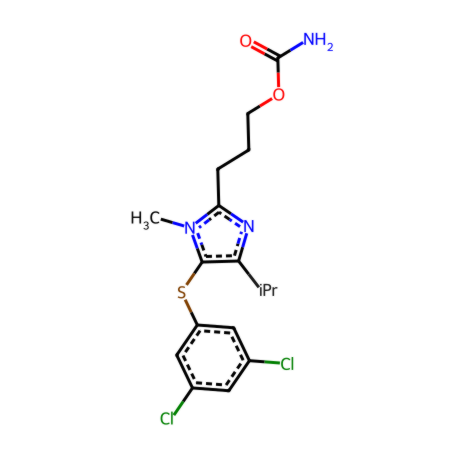 CC(C)c1nc(CCCOC(N)=O)n(C)c1Sc1cc(Cl)cc(Cl)c1